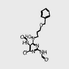 O=CNc1nc(Cl)c(NC=O)c(N(O)CCCOCc2ccccc2)n1